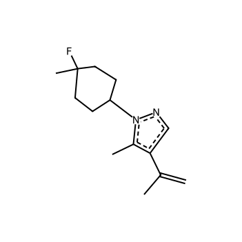 C=C(C)c1cnn(C2CCC(C)(F)CC2)c1C